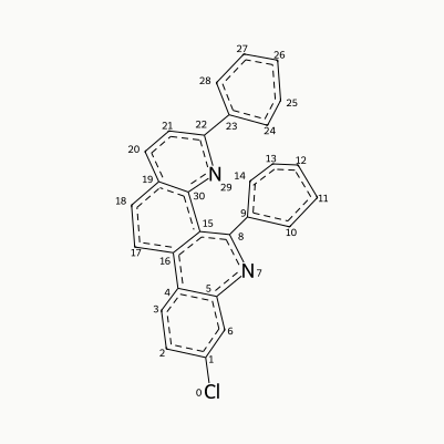 Clc1ccc2c(c1)nc(-c1ccccc1)c1c2ccc2ccc(-c3ccccc3)nc21